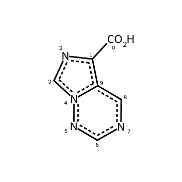 O=C(O)c1ncn2ncncc12